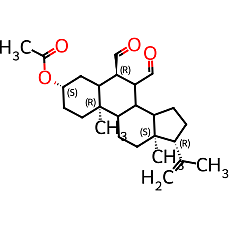 C=C(C)[C@H]1CCC2C3C(C=O)[C@H](C=O)C4C[C@@H](OC(C)=O)CC[C@]4(C)C3CC[C@@]21C